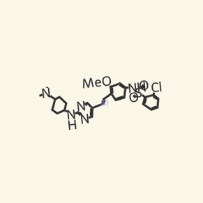 COc1cc(NS(=O)(=O)c2ccccc2Cl)ccc1/C=C/c1cnc(NC2CCC(N(C)C)CC2)nc1